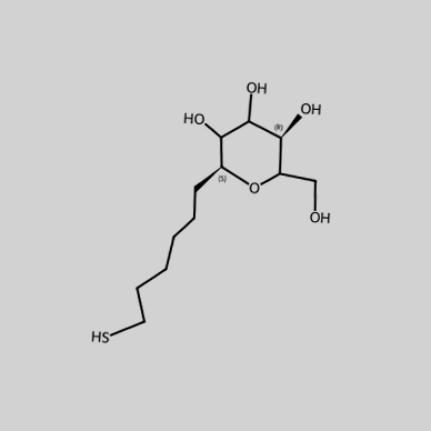 OCC1O[C@@H](CCCCCCS)C(O)C(O)[C@H]1O